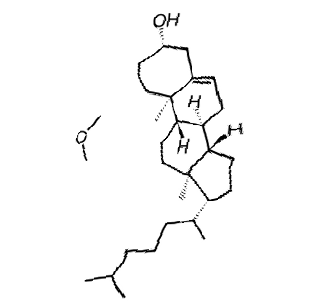 CC(C)CCCC(C)[C@H]1CC[C@H]2[C@@H]3CC=C4C[C@@H](O)CC[C@]4(C)[C@H]3CC[C@]12C.COC